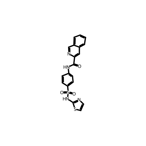 O=C(Nc1ccc(S(=O)(=O)Nc2nccs2)cc1)c1cc2ccccc2cn1